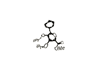 COC(=O)c1oc(-c2ccccc2)c(OC(C)C)c1OC(C)C